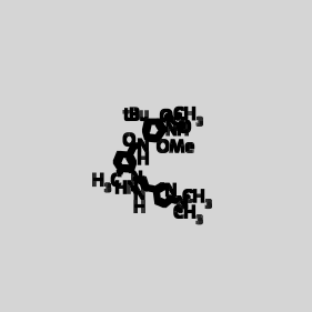 COc1c(NC(=O)c2ccc(C)c(N3C=C(c4ccc(N(C)C)nc4)NN3)c2)cc(C(C)(C)C)cc1NS(C)(=O)=O